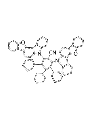 N#Cc1c(-n2c3ccccc3c3c4oc5ccccc5c4ccc32)c(-c2ccccc2)c(-c2ccccc2)c(-c2ccccc2)c1-n1c2ccccc2c2c3oc4ccccc4c3ccc21